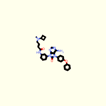 CN(CC=CC(=O)Nc1cccc(-n2c(=O)n(-c3ccc(Oc4ccccc4)cc3)c3c(N)ncnc32)c1)C1CCC1